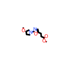 COC(=O)CCc1cnc(N2CC[C@H](OC)C2)o1